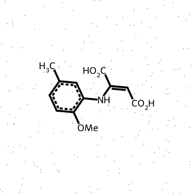 COc1ccc(C)cc1N/C(=C\C(=O)O)C(=O)O